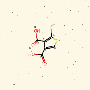 O=C(O)c1csc(F)c1C(=O)O